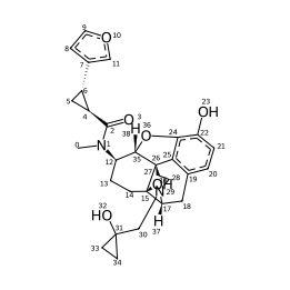 CN(C(=O)[C@H]1C[C@@H]1c1ccoc1)[C@@H]1CC[C@@]2(O)[C@H]3Cc4ccc(O)c5c4[C@@]2(CCN3CC2(O)CC2)[C@H]1O5